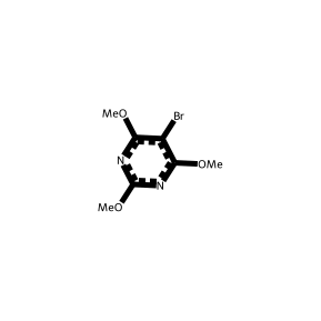 COc1nc(OC)c(Br)c(OC)n1